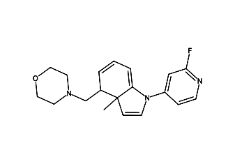 CC12C=CN(c3ccnc(F)c3)C1=CC=CC2CN1CCOCC1